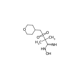 CC(C)(C(=N)NO)S(=O)(=O)CC1CCOCC1